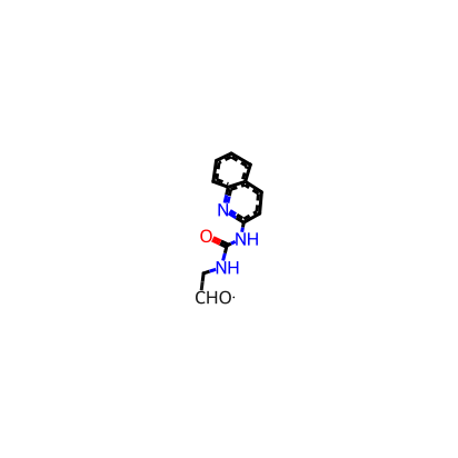 O=[C]CNC(=O)Nc1ccc2ccccc2n1